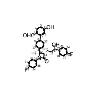 O=Cc1ccc(O)cc1-c1ccc([C@@]2(I)[C@H](CC[C@H](O)c3ccc(F)cc3)C(=O)N2c2ccc(F)cc2)cc1